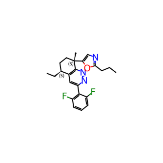 CCCc1ncc([C@@]2(C)CC[C@H](CC)c3cc(-c4c(F)cccc4F)nnc32)o1